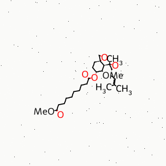 COC(=O)CCCCCCCCC(=O)O[C@@H]1CC[C@]2(CO2)[C@@H](C2(C)O[C@@H]2CC=C(C)C)[C@@H]1OC